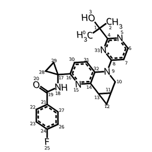 CC(C)(O)c1nccc(N2CC3CC3c3nc(C4(NC(=O)c5ccc(F)cc5)CC4)ccc32)n1